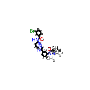 Cc1ccc(-c2cn3nc(NC(=O)c4cccc(Br)c4)ccc3n2)cc1NC(=O)C(C)(C)C